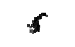 CCOC(=O)CC1CN=C(c2cc3cc(Oc4ccc(CC)nc4)cc(OC(C)C)c3[nH]2)S1